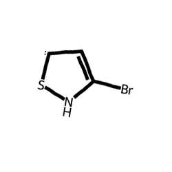 BrC1=C[C]SN1